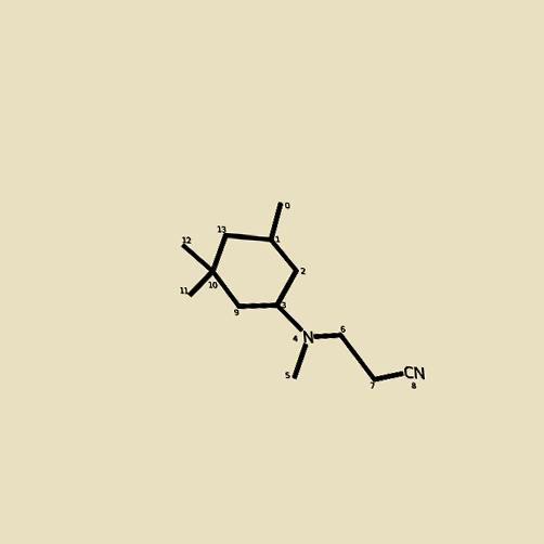 CC1CC(N(C)CCC#N)CC(C)(C)C1